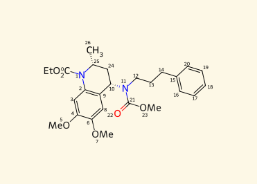 CCOC(=O)N1c2cc(OC)c(OC)cc2[C@@H](N(CCCc2ccccc2)C(=O)OC)C[C@H]1C